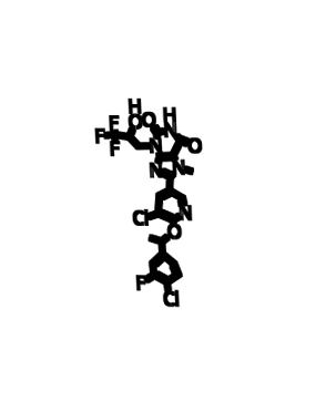 CC(Oc1ncc(-c2nc3c(c(=O)[nH]c(=O)n3CC(O)C(F)(F)F)n2C)cc1Cl)c1ccc(Cl)c(F)c1